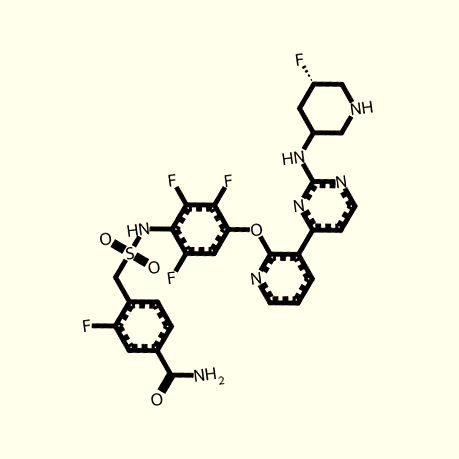 NC(=O)c1ccc(CS(=O)(=O)Nc2c(F)cc(Oc3ncccc3-c3ccnc(NC4CNC[C@@H](F)C4)n3)c(F)c2F)c(F)c1